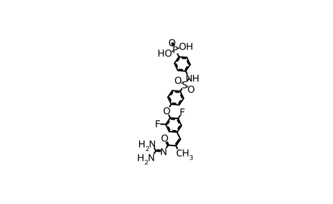 CC(=Cc1cc(F)c(Oc2ccc(S(=O)(=O)Nc3ccc(P(=O)(O)O)cc3)cc2)c(F)c1)C(=O)N=C(N)N